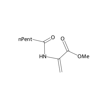 C=C(NC(=O)CCCCC)C(=O)OC